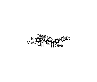 CCN1CCN(c2ccc(Nc3ncnc4c(C(=O)Nc5c(Cl)c(OC)c(Br)c(OC)c5Cl)csc34)c(OC)c2)CC1